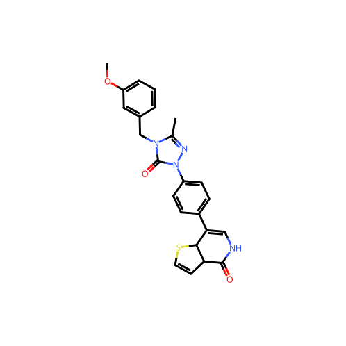 COc1cccc(Cn2c(C)nn(-c3ccc(C4=CNC(=O)C5C=CSC45)cc3)c2=O)c1